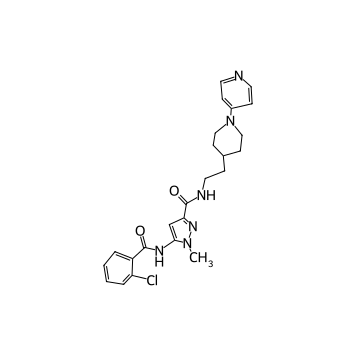 Cn1nc(C(=O)NCCC2CCN(c3ccncc3)CC2)cc1NC(=O)c1ccccc1Cl